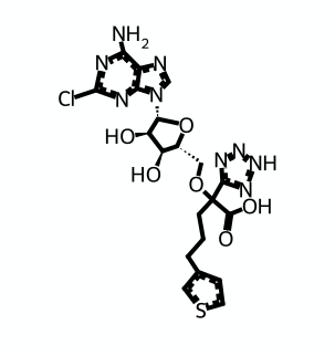 Nc1nc(Cl)nc2c1ncn2[C@@H]1O[C@H](COC(CCCc2ccsc2)(C(=O)O)c2nn[nH]n2)[C@@H](O)[C@H]1O